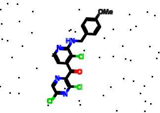 COc1ccc(CNc2nccc(C(=O)c3ncc(Cl)nc3Cl)c2Cl)cc1